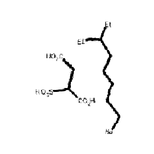 CCC(CC)CCCC[CH2][Na].O=C(O)CC(C(=O)O)S(=O)(=O)O